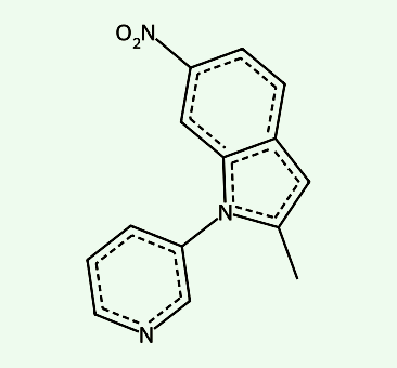 Cc1cc2ccc([N+](=O)[O-])cc2n1-c1cccnc1